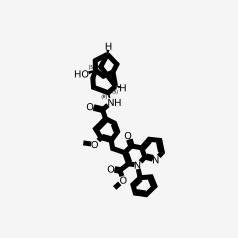 COC(=O)c1c(Cc2ccc(C(=O)N[C@@H]3CC[C@@]4(O)CC5C[C@H](C[C@@H]53)C4)cc2OC)c(=O)c2cccnc2n1-c1ccccc1